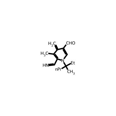 C=C1C(C=O)=CN(C(C)(CC)CCC)C(C=N)=C1C